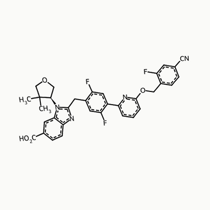 CC1(C)COC[C@H]1n1c(Cc2cc(F)c(-c3cccc(OCc4ccc(C#N)cc4F)n3)cc2F)nc2ccc(C(=O)O)cc21